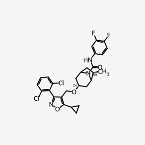 C[C@@H]1CC2C[C@H](OCc3c(-c4c(Cl)cccc4Cl)noc3C3CC3)CC1N2C(=O)Nc1ccc(F)c(F)c1